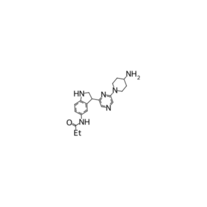 CCC(=O)Nc1ccc2c(c1)C(c1cncc(N3CCC(N)CC3)n1)CN2